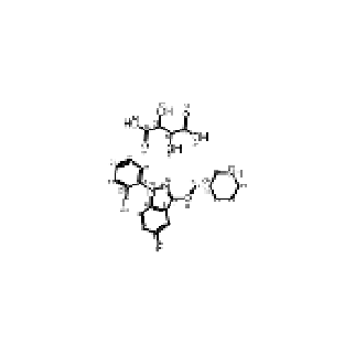 Fc1ccc2c(c1)c(OC[C@H]1CCCNC1)nn2-c1ccccc1F.O=C(O)C(O)C(O)C(=O)O